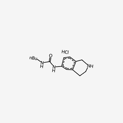 CCCCNC(=O)Nc1ccc2c(c1)CCNC2.Cl